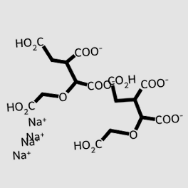 O=C(O)COC(C(=O)[O-])C(CC(=O)O)C(=O)[O-].O=C(O)COC(C(=O)[O-])C(CC(=O)O)C(=O)[O-].[Na+].[Na+].[Na+].[Na+]